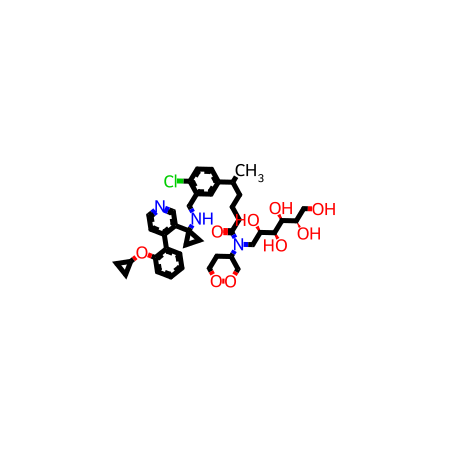 CC(CCCC(=O)N(C[C@@H](O)[C@H](O)[C@@H](O)[C@@H](O)CO)C1CCOOC1)c1ccc(Cl)c(CNC2(c3cnccc3-c3ccccc3OC3CC3)CC2)c1